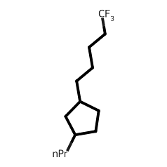 CCCC1CCC(CCCCC(F)(F)F)C1